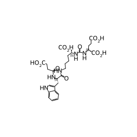 O=C(O)CCC(=O)N[C@@H](Cc1c[nH]c2ccccc12)C(=O)NCCCC[C@H](NC(=O)N[C@@H](CCC(=O)O)C(=O)O)C(=O)O